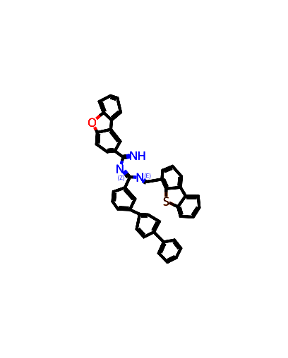 N=C(/N=C(\N=C\c1cccc2c1sc1ccccc12)c1cccc(-c2ccc(-c3ccccc3)cc2)c1)c1ccc2oc3ccccc3c2c1